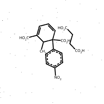 CC1C(C(=O)O)=CC=CC1(C(=O)O)c1ccc([N+](=O)[O-])cc1.O=C(O)CCC(=O)O